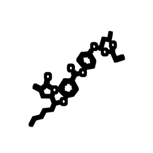 C=CC(=O)OC(CCC)Oc1ccc(OC(=O)c2ccc(OC(CCCCC)C3CC(=C)C(=O)O3)cc2)cc1